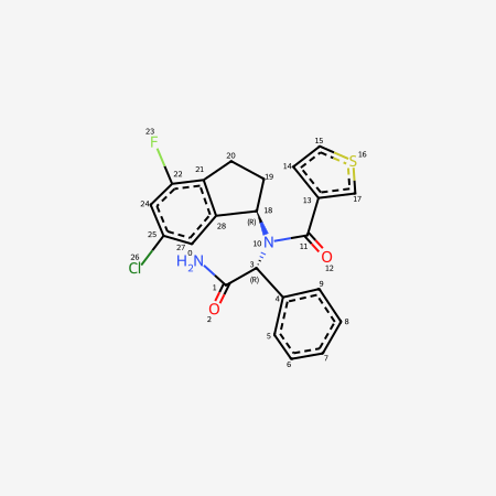 NC(=O)[C@@H](c1ccccc1)N(C(=O)c1ccsc1)[C@@H]1CCc2c(F)cc(Cl)cc21